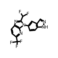 FC(F)c1nc2ccc(C(F)(F)F)nc2n1-c1ccc2[nH]ncc2c1